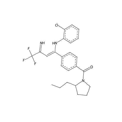 CCCC1CCCN1C(=O)c1ccc(/C(=C/C(=N)C(F)(F)F)Nc2ccccc2Cl)cc1